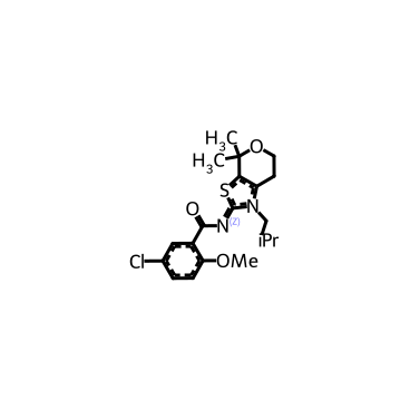 COc1ccc(Cl)cc1C(=O)/N=c1\sc2c(n1CC(C)C)CCOC2(C)C